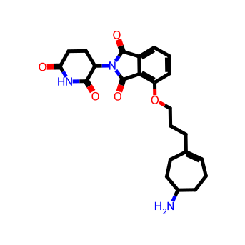 NC1CCC=C(CCCOc2cccc3c2C(=O)N(C2CCC(=O)NC2=O)C3=O)CC1